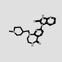 CN1CCC(CN2CCNC(=O)c3ccc(-n4c(=O)[nH]c5ncccc54)nc32)CC1